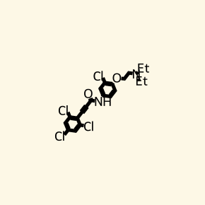 CCN(CC)CCOc1ccc(NC(=O)C#Cc2c(Cl)cc(Cl)cc2Cl)cc1Cl